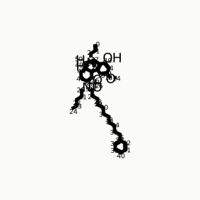 C=CCN1CC[C@]23c4c5c(O)cc(OC)c4O[C@H]2[C@H](N(CCCCC)C(=O)CCCCCCCCCCc2ccccc2)CC[C@H]3[C@H]1C5